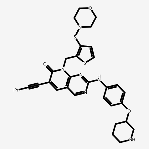 CC(C)C#Cc1cc2cnc(Nc3ccc(OC4CCCNC4)cc3)nc2n(Cc2sccc2SN2CCOCC2)c1=O